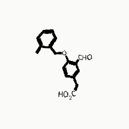 Cc1ccccc1COc1ccc(CC(=O)O)cc1C=O